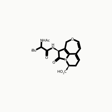 CCC(C)C(NC(C)=O)C(=O)N[C@@H]1C(=O)N2C3=C1COC=CC3=CC[C@H]2C(=O)O